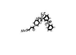 CSCCC(=O)N1CCC(NS(=O)(=O)c2cc(S(=O)(=O)c3ccccc3)ccc2C(F)(F)F)CC1